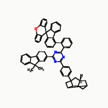 CC1(C)C2=C(CCC(c3nc(-c4ccc(C56CC7C8CC(C75)[C@@H](C8)C6)cc4)nc(-c4ccccc4-c4cccc5c4-c4ccccc4C54c5ccccc5Oc5ccccc54)n3)=C2)c2ccccc21